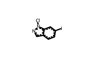 Cln1ncc2ccc(I)cc21